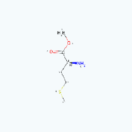 BOC(=O)[C@@H](N)CCSC